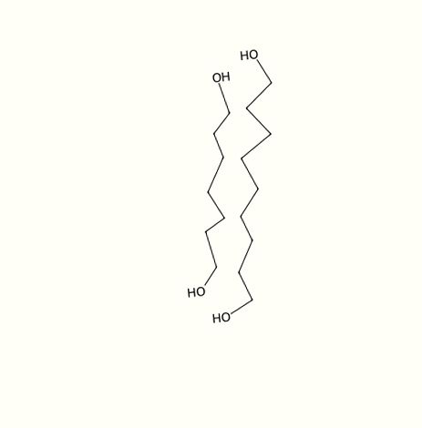 OCCCCCCCCCO.OCCCCCCCO